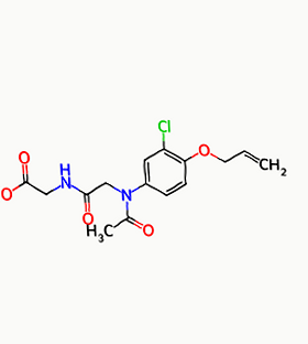 C=CCOc1ccc(N(CC(=O)NCC(=O)O)C(C)=O)cc1Cl